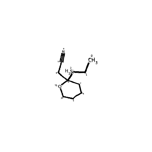 CC[SiH2]C1(CC#N)CCCCO1